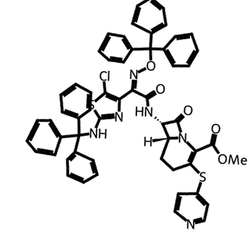 COC(=O)C1=C(Sc2ccncc2)CC[C@@H]2[C@H](NC(=O)/C(=N\OC(c3ccccc3)(c3ccccc3)c3ccccc3)c3nc(NC(c4ccccc4)(c4ccccc4)c4ccccc4)sc3Cl)C(=O)N12